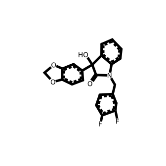 O=C1N(Cc2ccc(F)c(F)c2)c2ccccc2C1(O)c1ccc2c(c1)OCO2